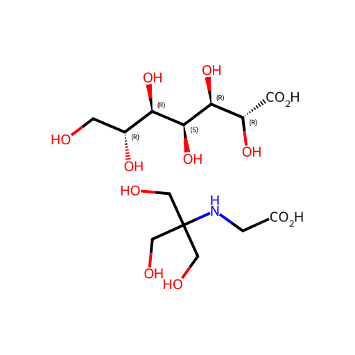 O=C(O)CNC(CO)(CO)CO.O=C(O)[C@H](O)[C@H](O)[C@@H](O)[C@H](O)[C@H](O)CO